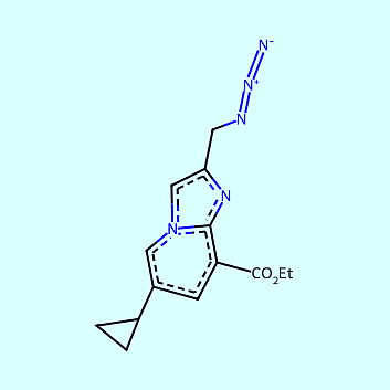 CCOC(=O)c1cc(C2CC2)cn2cc(CN=[N+]=[N-])nc12